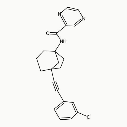 O=C(NC12CCCC(C#Cc3cccc(Cl)c3)(CC1)C2)c1cnccn1